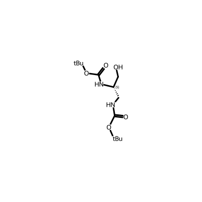 CC(C)(C)OC(=O)NC[C@@H](CO)NC(=O)OC(C)(C)C